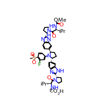 COC(=O)N[C@H](C(=O)N1CCC[C@H]1c1nc2ccc([C@H]3CC[C@H](c4ccc5nc([C@@H]6CCCN6C(=O)[C@@H](NC(=O)O)C(C)C)[nH]c5c4)N3c3ccc(S(C)(=O)=O)c(F)c3)cc2[nH]1)C(C)C